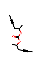 CC#CCC(C)OC(=O)OC(C)CC#CC